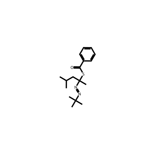 CC(C)CC(C)(/N=N/C(C)(C)C)SC(=O)c1ccccc1